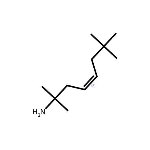 CC(C)(C)C/C=C\CC(C)(C)N